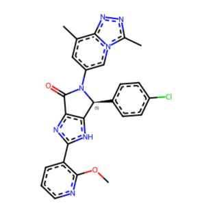 COc1ncccc1-c1nc2c([nH]1)[C@H](c1ccc(Cl)cc1)N(c1cc(C)c3nnc(C)n3c1)C2=O